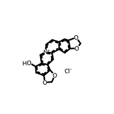 Oc1cc2c(c3cc4c5cc6c(cc5cc[n+]4cc13)OCO6)OCO2.[Cl-]